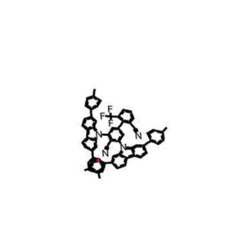 Cc1ccc(-c2ccc3c4ccc(-c5ccc(C)cc5)cc4n(-c4cc(-c5c(C#N)cccc5C(F)(F)F)cc(-n5c6cc(-c7ccc(C)cc7)ccc6c6ccc(-c7ccc(C)cc7)cc65)c4C#N)c3c2)cc1